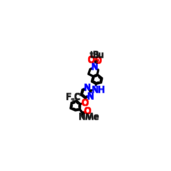 CNC(=O)c1ccccc1Oc1nc(Nc2ccc3c(c2)CCN(C(=O)OC(C)(C)C)C3)ncc1C(F)(F)F